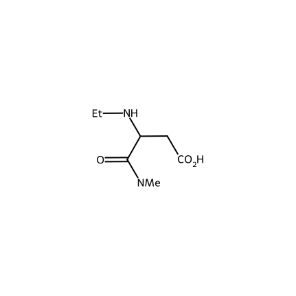 CCNC(CC(=O)O)C(=O)NC